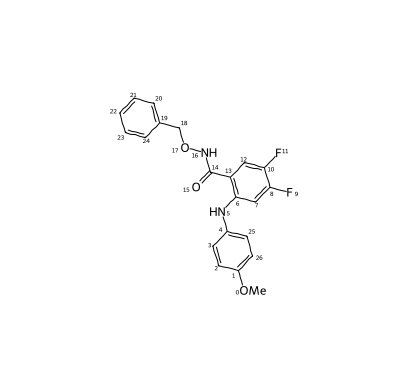 COc1ccc(Nc2cc(F)c(F)cc2C(=O)NOCc2ccccc2)cc1